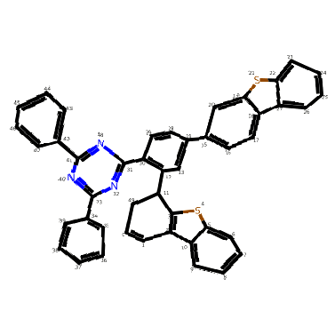 C1=Cc2c(sc3ccccc23)C(c2cc(-c3ccc4c(c3)sc3ccccc34)ccc2-c2nc(-c3ccccc3)nc(-c3ccccc3)n2)C1